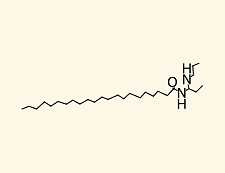 CCCCCCCCCCCCCCCCCCCCCC(=O)NC(CC)NCCC